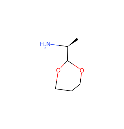 C[C@H](N)C1OCCCO1